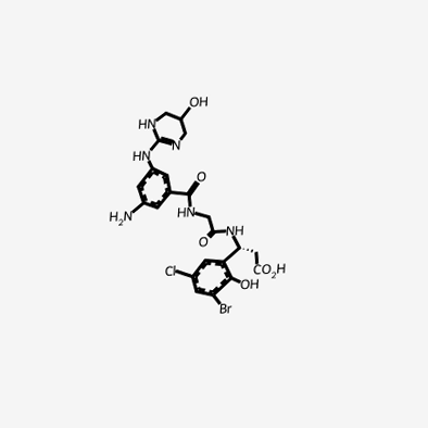 Nc1cc(NC2=NCC(O)CN2)cc(C(=O)NCC(=O)N[C@H](CC(=O)O)c2cc(Cl)cc(Br)c2O)c1